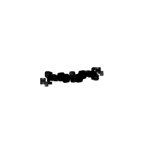 CCC1(COc2ccc3cc(OC(=O)c4ccc5cc(OCC6(CC)COC6)ccc5c4)ccc3c2)COC1